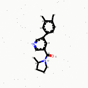 Cc1ccc(-c2cncc(C(=O)N3CCCC3C)c2)cc1C